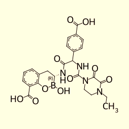 CCN1CCN(C(=O)NC(C(=O)N[C@H]2Cc3cccc(C(=O)O)c3OB2O)c2ccc(C(=O)O)cc2)C(=O)C1=O